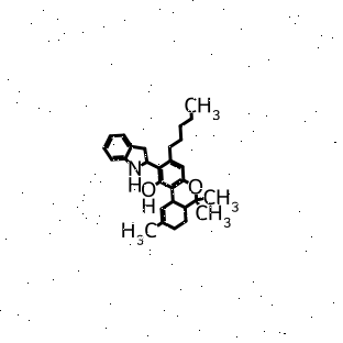 CCCCCc1cc2c(c(O)c1C1Cc3ccccc3N1)C1C=C(C)CCC1C(C)(C)O2